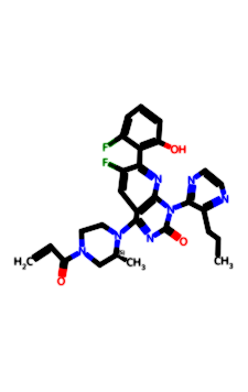 C=CC(=O)N1CCN(c2nc(=O)n(-c3nccnc3CCC)c3nc(-c4c(O)cccc4F)c(F)cc23)[C@@H](C)C1